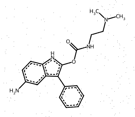 CN(C)CCNC(=O)Oc1[nH]c2ccc(N)cc2c1-c1ccccc1